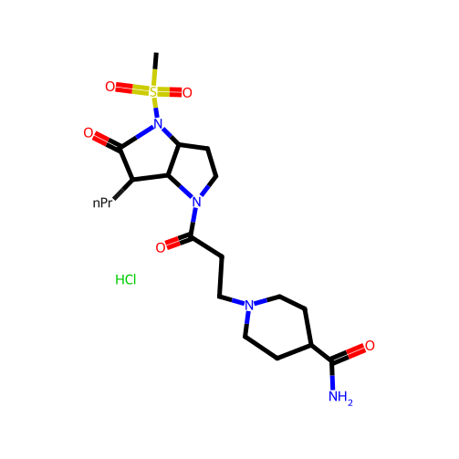 CCCC1C(=O)N(S(C)(=O)=O)C2CCN(C(=O)CCN3CCC(C(N)=O)CC3)C12.Cl